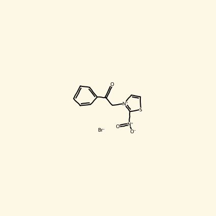 O=C(C[n+]1ccsc1[N+](=O)[O-])c1ccccc1.[Br-]